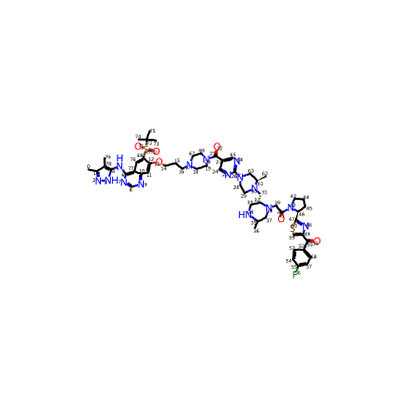 Cc1n[nH]c(Nc2ncnc3cc(OCCCN4CCN(C(=O)c5cnc(N6CCN(C[C@H]7CNC(C)CN7CC(=O)N7CCC[C@H]7c7nc(C(=O)c8ccc(F)cc8)cs7)[C@H](C)C6)nc5)CC4)c(S(=O)(=O)C(C)(C)C)cc23)c1C